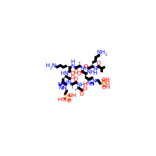 CC(C)C(=O)N[C@@H](CCCCN)C(=O)N[C@@H](Cc1cn(CCP(=O)(O)O)nn1)C(=O)N[C@@H](C)C(=O)N[C@@H](CCCCN)C(=O)N[C@@H](Cc1cn(CCP(=O)(O)O)nn1)C(=O)N[C@@H](C)C(=O)N[C@@H](C)C(=O)O